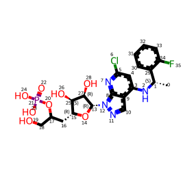 C[C@H](Nc1cc(Cl)nc2c1cnn2[C@@H]1O[C@H](CC(CO)OP(=O)(O)O)[C@@H](O)[C@H]1O)c1ccccc1F